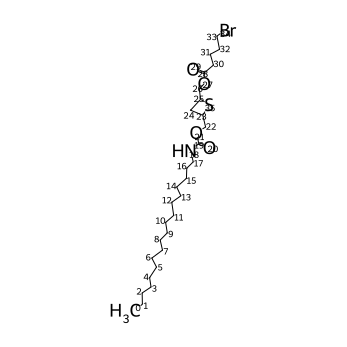 CCCCCCCCCCCCCCCCCCNC(=O)OCC1CC(COC(=O)CCCCBr)S1